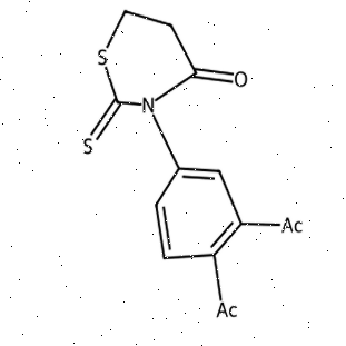 CC(=O)c1ccc(N2C(=O)CCSC2=S)cc1C(C)=O